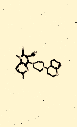 Cc1ccc2c(n1)c(N1CCN(C3CCOc4ccccc43)CC1)c(C#N)c(=O)n2C